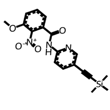 COc1cccc(C(=O)Nc2ccc(C#C[Si](C)(C)C)cn2)c1[N+](=O)[O-]